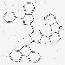 c1ccc(-c2cc(-c3nc(-c4cc5ccccc5c5ccccc45)nc(-c4cccc5oc6ccccc6c45)n3)cc3ccccc23)cc1